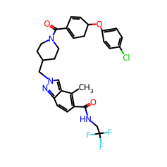 Cc1c(C(=O)NCC(F)(F)F)ccc2nn(CC3CCN(C(=O)C4=CCC(Oc5ccc(Cl)cc5)C=C4)CC3)cc12